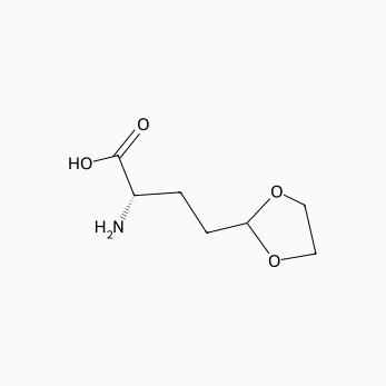 N[C@@H](CCC1OCCO1)C(=O)O